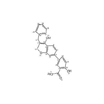 O=C(O)c1cc(-c2ccc3c(c2)OCC(Cc2ccccc2)=C3O)ccc1O